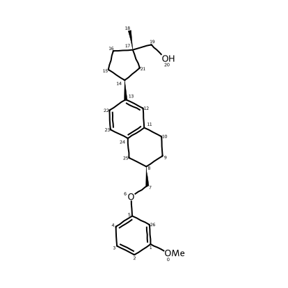 COc1cccc(OC[C@@H]2CCc3cc([C@H]4CC[C@](C)(CO)C4)ccc3C2)c1